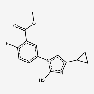 COC(=O)c1cc(-n2cc(C3CC3)nc2S)ccc1F